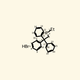 Br.CCPCC(c1ccccc1)(c1ccccc1)c1ccccc1